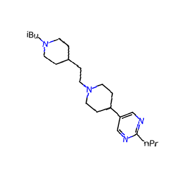 CCCc1ncc(C2CCN(CCC3CCN(C(C)CC)CC3)CC2)cn1